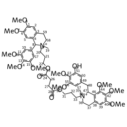 COc1cc2c(cc1OC)C(c1cc(OC)c(OC)c(OC)c1)[N+](C)(CCCOC(=O)CCC(=O)OCCC[N+]1(C)CCc3cc(OC)c(OC)c(OC)c3C1Cc1cc(O)c(OC)c(OC)c1)CC2